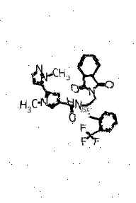 Cn1cc(C(=O)N[C@@H](Cc2ccccc2C(F)(F)F)CN2C(=O)C3C=CC=CC3C2=O)cc1-c1ccnn1C